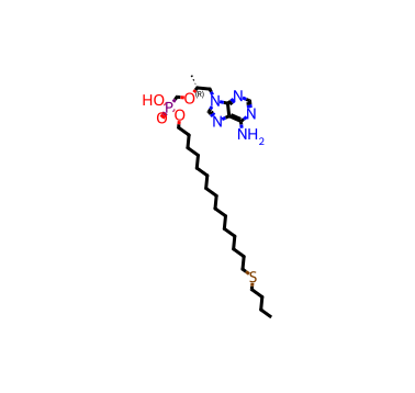 CCCCSCCCCCCCCCCCCCCCOP(=O)(O)CO[C@H](C)Cn1cnc2c(N)ncnc21